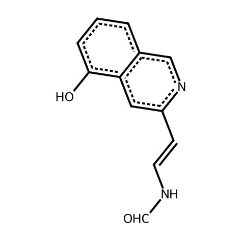 O=CNC=Cc1cc2c(O)cccc2cn1